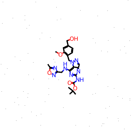 COc1cc(CO)ccc1Cn1ncc2nc(NC(=O)OC(C)(C)C)nc(NCc3noc(C)n3)c21